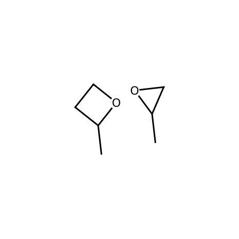 CC1CCO1.CC1CO1